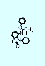 CC(Nc1cccc2oc(=O)n(C3CCCCC3)c12)Oc1ccccc1